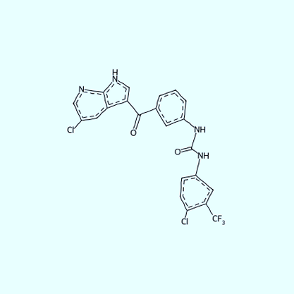 O=C(Nc1cccc(C(=O)c2c[nH]c3ncc(Cl)cc23)c1)Nc1ccc(Cl)c(C(F)(F)F)c1